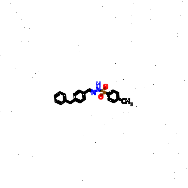 Cc1ccc(S(=O)(=O)NN=Cc2ccc(Cc3ccccc3)cc2)cc1